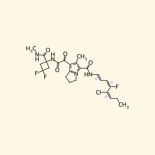 CC\C=C(Cl)/C(F)=C\C=C\NC(=O)c1c(C)c(C(=O)C(=O)NC2(C(=O)NC)CC(F)(F)C2)c2n1CCC2